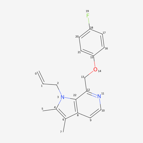 C=CCn1c(C)c(C)c2ccnc(COc3ccc(F)cc3)c21